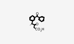 C[C@@H](C(=O)CC(=O)O)c1cccc(C(=O)c2ccccc2)c1